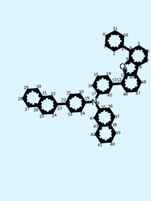 c1ccc(-c2cccc3c2oc2c(-c4cccc(N(c5ccc(-c6ccc7ccccc7c6)cc5)c5ccc6ccccc6c5)c4)cccc23)cc1